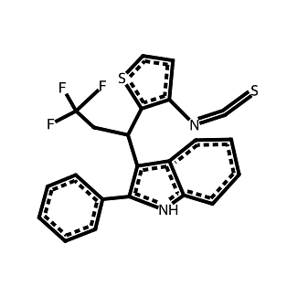 FC(F)(F)CC(c1sccc1N=C=S)c1c(-c2ccccc2)[nH]c2ccccc12